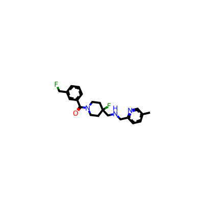 Cc1ccc(CNCC2(F)CCN(C(=O)c3cccc(CF)c3)CC2)nc1